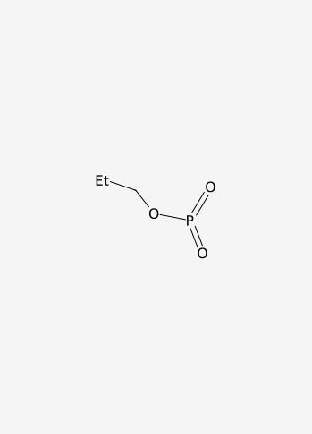 CCCOP(=O)=O